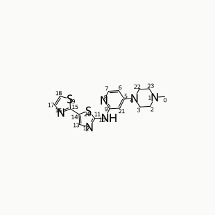 CN1CCN(c2ccnc(Nc3ncc(-c4nccs4)s3)c2)CC1